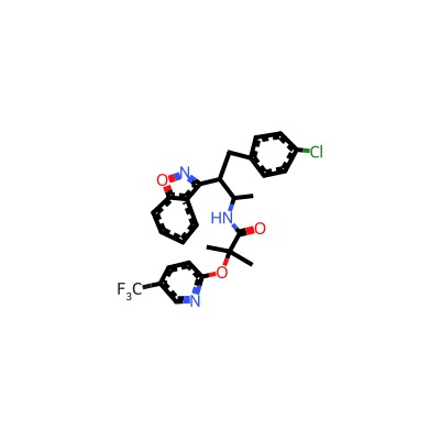 CC(NC(=O)C(C)(C)Oc1ccc(C(F)(F)F)cn1)C(Cc1ccc(Cl)cc1)c1noc2ccccc12